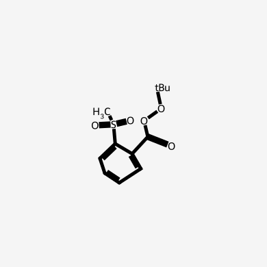 CC(C)(C)OOC(=O)c1ccccc1S(C)(=O)=O